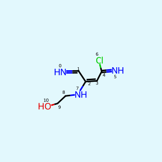 N=C/C(=C\C(=N)Cl)NCCO